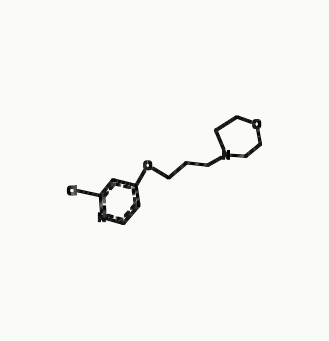 Clc1cc(OCCCN2CCOCC2)ccn1